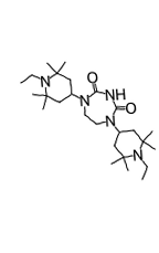 CCN1C(C)(C)CC(N2CCN(C3CC(C)(C)N(CC)C(C)(C)C3)C(=O)NC2=O)CC1(C)C